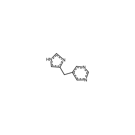 c1ncc(Cc2c[nH]cn2)cn1